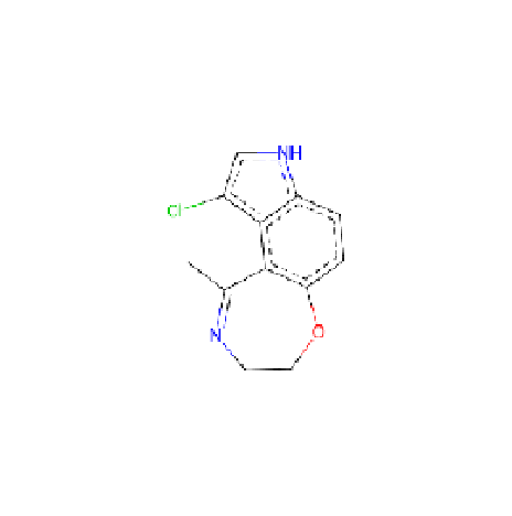 CC1=NCCOc2ccc3[nH]cc(Cl)c3c21